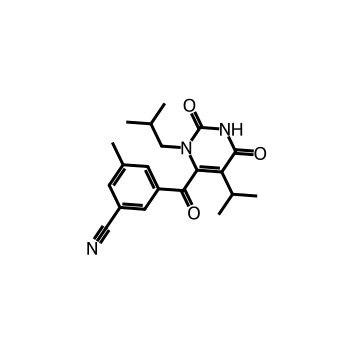 Cc1cc(C#N)cc(C(=O)c2c(C(C)C)c(=O)[nH]c(=O)n2CC(C)C)c1